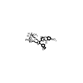 COc1ccc([N+](=O)[O-])cc1Nc1nccc(-c2c(-c3ccc4ccoc4c3)nc(CCCO[Si](C(C)C)(C(C)C)C(C)C)n2COCC[Si](C)(C)C)n1